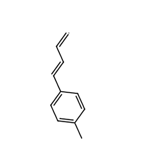 [CH]=CC=Cc1ccc(C)cc1